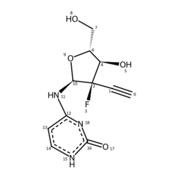 C#C[C@@]1(F)[C@H](O)[C@@H](CO)O[C@@H]1Nc1cc[nH]c(=O)n1